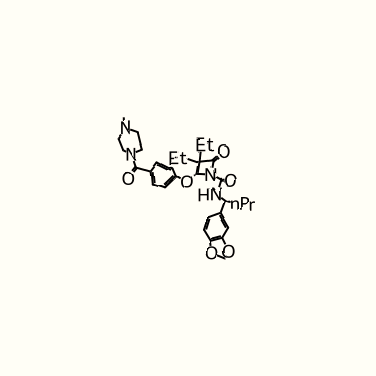 CCC[C@H](NC(=O)N1C(=O)C(CC)(CC)[C@H]1Oc1ccc(C(=O)N2CCN(C)CC2)cc1)c1ccc2c(c1)OCO2